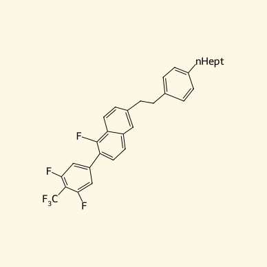 CCCCCCCc1ccc(CCc2ccc3c(F)c(-c4cc(F)c(C(F)(F)F)c(F)c4)ccc3c2)cc1